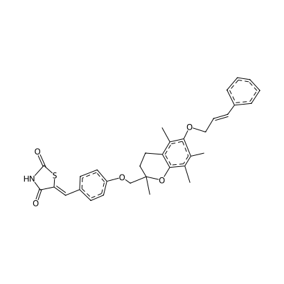 Cc1c(C)c2c(c(C)c1OC/C=C/c1ccccc1)CCC(C)(COc1ccc(/C=C3\SC(=O)NC3=O)cc1)O2